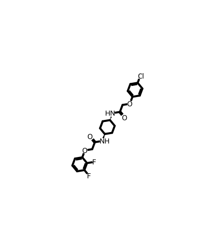 O=C(COc1ccc(Cl)cc1)N[C@H]1CC[C@H](NC(=O)COc2cccc(F)c2F)CC1